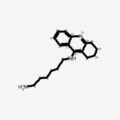 NCCCCCCNc1c2c(nc3ccccc13)CCCC2